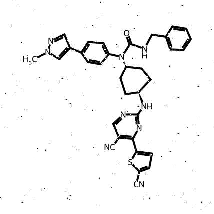 Cn1cc(-c2ccc(N(C(=O)NCc3ccccc3)[C@H]3CC[C@H](Nc4ncc(C#N)c(-c5ccc(C#N)s5)n4)CC3)cc2)cn1